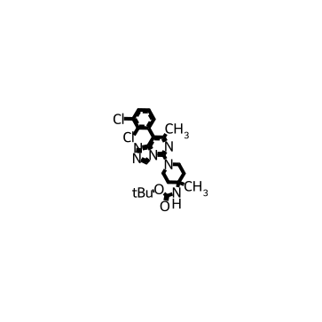 Cc1nc(N2CCC(C)(NC(=O)OC(C)(C)C)CC2)n2cnnc2c1-c1cccc(Cl)c1Cl